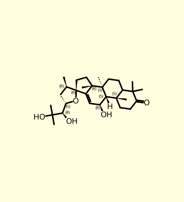 C[C@@H]1C[C@@H]([C@@H](O)C(C)(C)O)O[C@]12CC[C@@]1(C)C2=C[C@H](O)[C@H]2[C@@]3(C)CCC(=O)C(C)(C)C3CC[C@@]21C